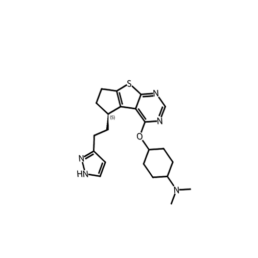 CN(C)C1CCC(Oc2ncnc3sc4c(c23)[C@@H](CCc2cc[nH]n2)CC4)CC1